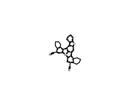 N#Cc1cc2c(c3c1CCCC3)c1cc3oc4ccccc4c3c3c4c5c(c(C#N)cc4n2c13)CCCC5